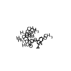 COc1ccc2c(O[C@H]3C[C@@H](C(=O)O)N(C(=O)C(NC(=O)NC(C)(C)C)C(C)(C)C)C3)cc(C3CC3)nc2c1